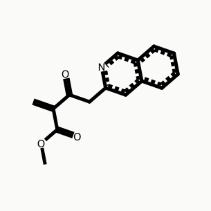 C=C(C(=O)Cc1cc2ccccc2cn1)C(=O)OC